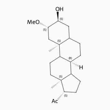 CO[C@H]1C[C@@]2(C)C(CC[C@@H]3C2CC[C@@]2(C)C3CC[C@@H]2C(C)=O)C[C@@H]1O